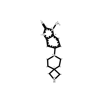 Cn1c(=O)oc2cc(N3CCC4(CC3)CNC4)ccc21